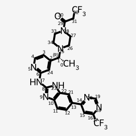 C[C@H](c1ccnc(Nc2nc3ccc(-c4cc(C(F)(F)F)ncn4)cc3[nH]2)c1)N1CCN(C(=O)CC(F)(F)F)CC1